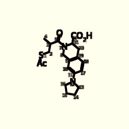 CC(=O)SCC(C)C(=O)N1Cc2cc(N3CCCC3)ccc2CC1C(=O)O